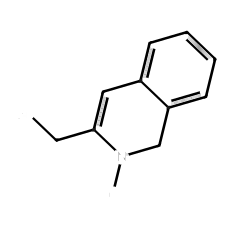 ClN1Cc2ccccc2C=C1CBr